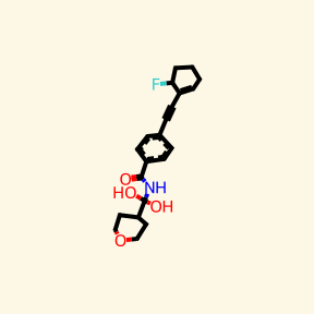 O=C(NC(O)(O)C1CCOCC1)c1ccc(C#CC2=CCCCC2F)cc1